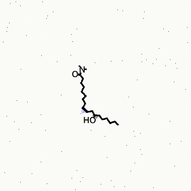 CCCCCC[C@@H](O)C/C=C\CCCCCCCC(=O)N(C)C